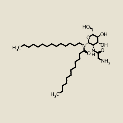 CCCCCCCCCCCCCCN(C(=O)CCCCCCCCCCC)[C@@H]1O[C@H](CO)[C@@H](O)[C@H](O)[C@@H]1NC(=O)CN